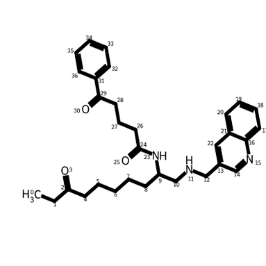 CCC(=O)CCCCCC(CNCc1cnc2ccccc2c1)NC(=O)CCCC(=O)c1ccccc1